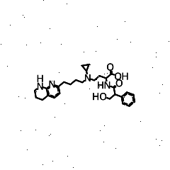 O=C(O)C(CCN(CCCCc1ccc2c(n1)NCCC2)C1CC1)NC(=O)C(CO)c1ccccc1